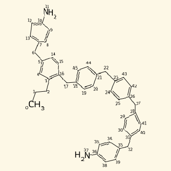 CCCc1cc(Cc2ccc(N)cc2)ccc1Cc1ccc(Cc2ccc(Cc3ccc(Cc4ccc(N)cc4)cc3)cc2)cc1